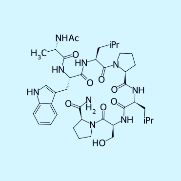 CC(=O)N[C@@H](C)C(=O)N[C@@H](Cc1c[nH]c2ccccc12)C(=O)N[C@@H](CC(C)C)C(=O)N1CCC[C@H]1C(=O)N[C@@H](CC(C)C)C(=O)N[C@@H](CO)C(=O)N1CCC[C@H]1C(N)=O